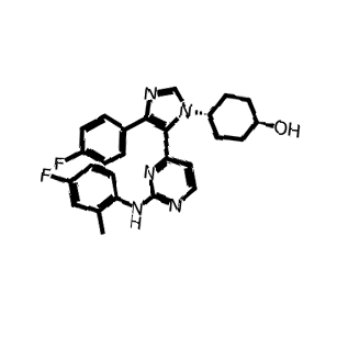 Cc1cc(F)ccc1Nc1nccc(-c2c(-c3ccc(F)cc3)ncn2[C@H]2CC[C@H](O)CC2)n1